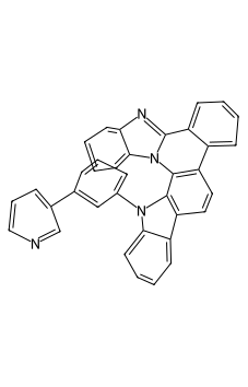 c1cncc(-c2cccc(-n3c4ccccc4c4ccc5c6ccccc6c6nc7ccccc7n6c5c43)c2)c1